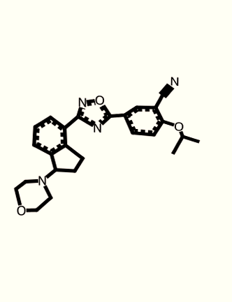 CC(C)Oc1ccc(-c2nc(-c3cccc4c3CCC4N3CCOCC3)no2)cc1C#N